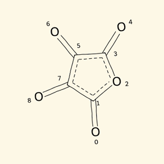 O=c1oc(=O)c(=O)c1=O